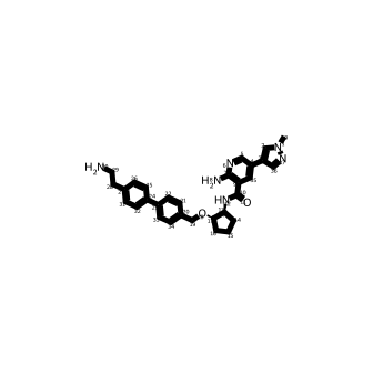 Cn1cc(-c2cnc(N)c(C(=O)N[C@H]3CCC[C@@H]3OCc3ccc(-c4ccc(CCN)cc4)cc3)c2)cn1